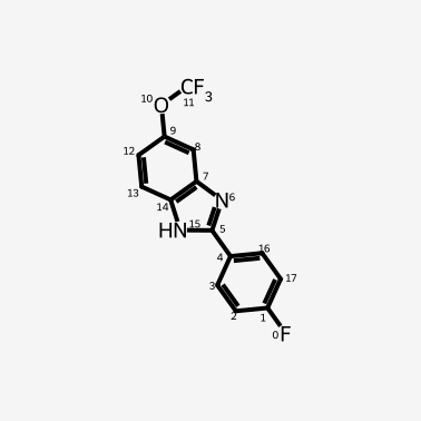 Fc1ccc(-c2nc3cc(OC(F)(F)F)ccc3[nH]2)cc1